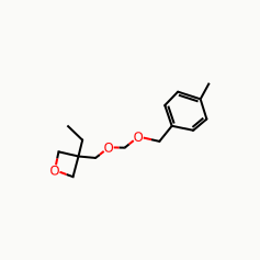 CCC1(COCOCc2ccc(C)cc2)COC1